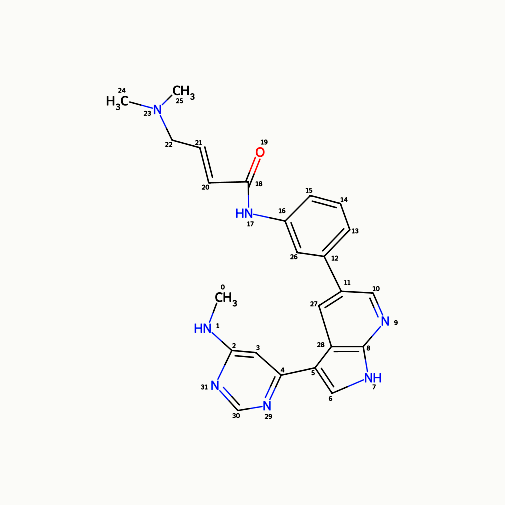 CNc1cc(-c2c[nH]c3ncc(-c4cccc(NC(=O)C=CCN(C)C)c4)cc23)ncn1